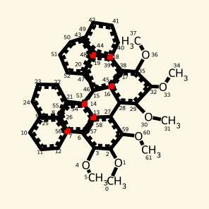 COc1c(OC)c(-c2ccccc2)c(P(c2ccccc2)c2ccccc2)c(-c2c(OC)c(OC)c(OC)c(-c3ccccc3)c2P(c2ccccc2)c2ccccc2)c1OC